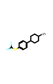 CCCC1CCC(c2ccc(SC(F)F)cc2)CC1